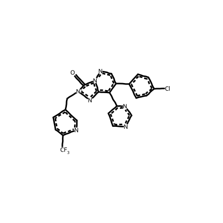 O=c1n(Cc2ccc(C(F)(F)F)nc2)nc2c(-c3ccncn3)c(-c3ccc(Cl)cc3)cnn12